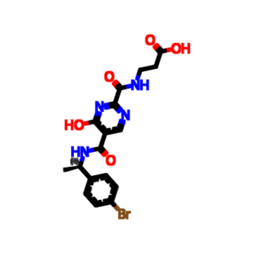 C[C@@H](NC(=O)c1cnc(C(=O)NCCC(=O)O)nc1O)c1ccc(Br)cc1